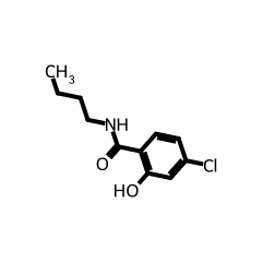 CCCCNC(=O)c1ccc(Cl)cc1O